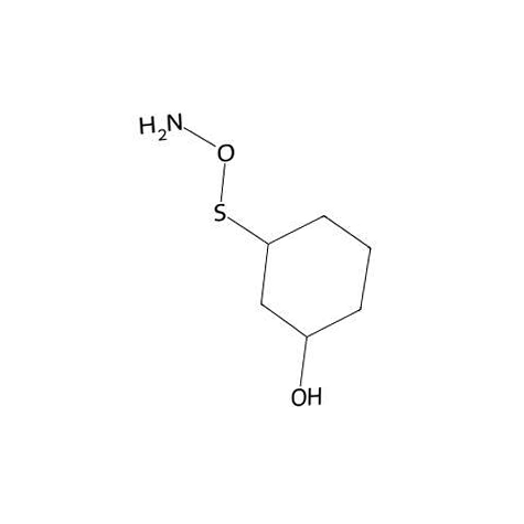 NOSC1CCCC(O)C1